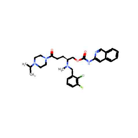 CC(C)N1CCN(C(=O)CC[C@@H](COC(=O)Nc2cc3ccccc3cn2)N(C)Cc2cccc(F)c2Cl)CC1